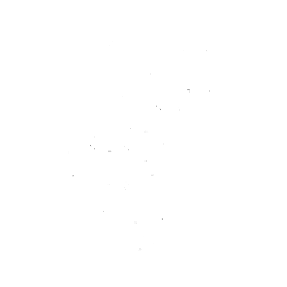 CCCOc1ccccc1CN(CC)[C@@H]1CCN(c2nccc(C)c2C(=O)OC(C)C)C1